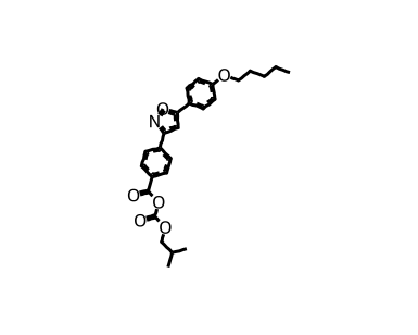 CCCCCOc1ccc(-c2cc(-c3ccc(C(=O)OC(=O)OCC(C)C)cc3)no2)cc1